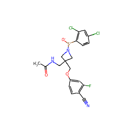 CC(=O)NCC1(COc2ccc(C#N)c(F)c2)CN([S+]([O-])c2ccc(Cl)cc2Cl)C1